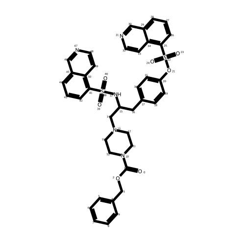 O=C(OCc1ccccc1)N1CCN(CC(Cc2ccc(OS(=O)(=O)c3cccc4cnccc34)cc2)NS(=O)(=O)c2cccc3cnccc23)CC1